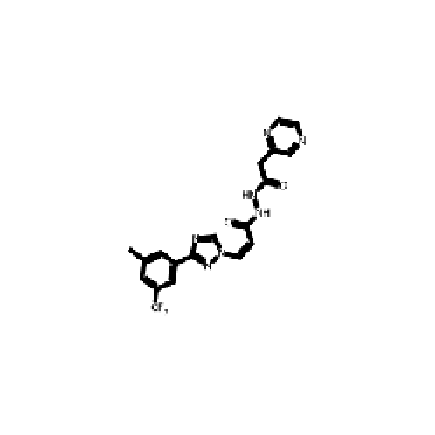 Cc1cc(-c2ncn(/C=C\C(=O)NNC(=O)Cc3cnccn3)n2)cc(C(F)(F)F)c1